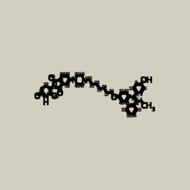 CC/C(=C(\c1ccc(O)cc1)c1ccc(OCCCCCCCN2CCN(c3ccc4c(c3)C(=O)N(C3CCC(=O)NC3=O)C4=O)CC2)cc1)c1ccccc1